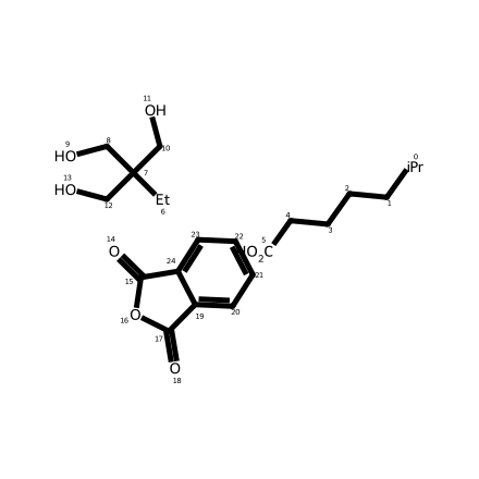 CC(C)CCCCC(=O)O.CCC(CO)(CO)CO.O=C1OC(=O)c2ccccc21